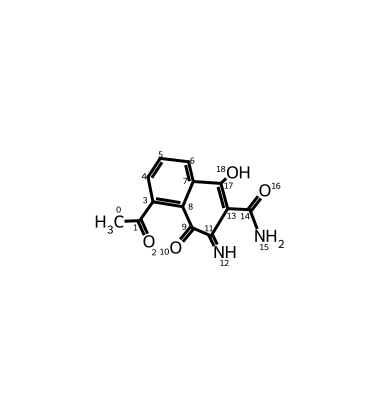 CC(=O)c1cccc2c1C(=O)C(=N)C(C(N)=O)=C2O